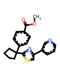 COC(=O)c1ccc(C2(c3nc(-c4cccnc4)cs3)CCCC2)cc1